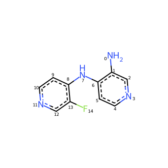 Nc1cnccc1Nc1ccncc1F